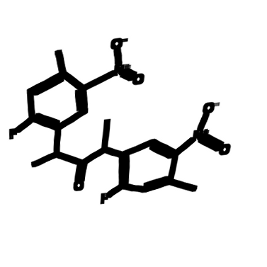 Cc1cc(F)c(C(C)C(=O)C(C)c2cc([N+](=O)[O-])c(C)cc2F)cc1[N+](=O)[O-]